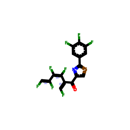 O=C(C(=C\F)/C(F)=C(F)\C(F)=C\F)c1csc(-c2cc(F)c(F)c(F)c2)n1